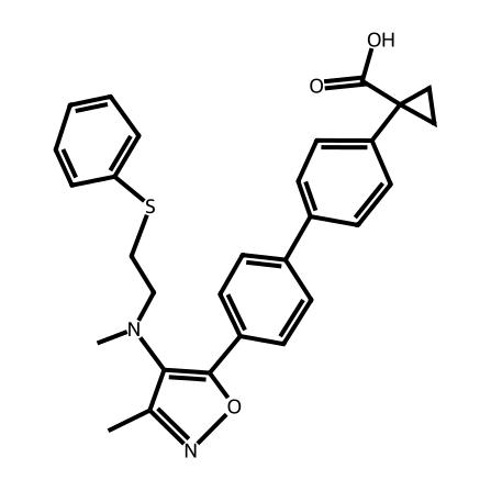 Cc1noc(-c2ccc(-c3ccc(C4(C(=O)O)CC4)cc3)cc2)c1N(C)CCSc1ccccc1